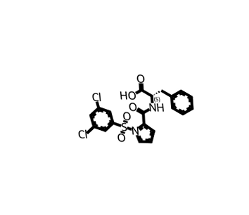 O=C(N[C@@H](Cc1ccccc1)C(=O)O)c1cccn1S(=O)(=O)c1cc(Cl)cc(Cl)c1